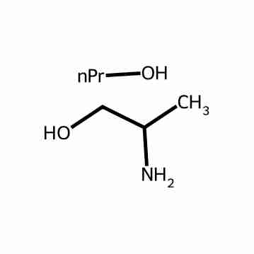 CC(N)CO.CCCO